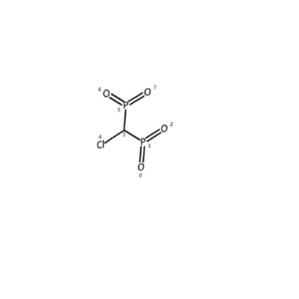 O=P(=O)C(Cl)P(=O)=O